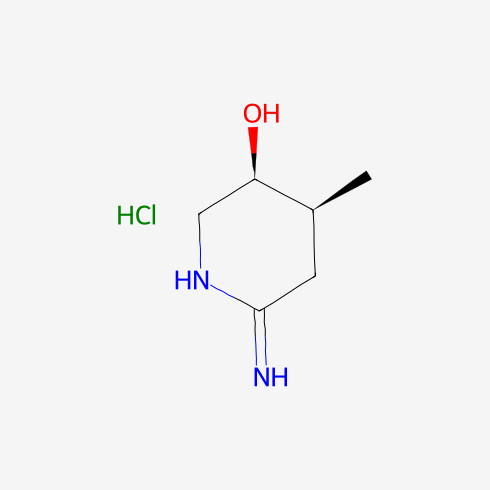 C[C@H]1CC(=N)NC[C@H]1O.Cl